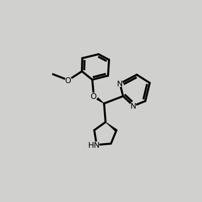 COc1ccccc1O[C@@H](c1ncccn1)[C@H]1CCNC1